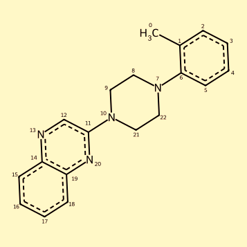 Cc1ccccc1N1CCN(c2cnc3ccccc3n2)CC1